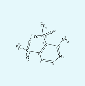 Nc1nccc(S(=O)(=O)C(F)(F)F)c1S(=O)(=O)C(F)(F)F